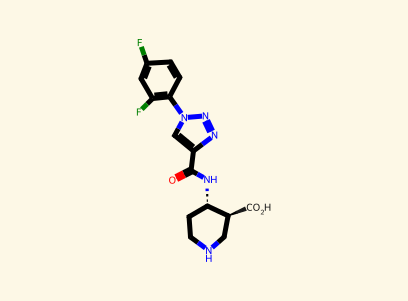 O=C(N[C@H]1CCNC[C@@H]1C(=O)O)c1cn(-c2ccc(F)cc2F)nn1